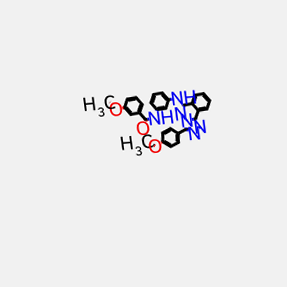 COc1ccc(-c2nnc3c4ccccc4c(Nc4cccc(NC(=O)c5cccc(OC)c5)c4)nn23)cc1